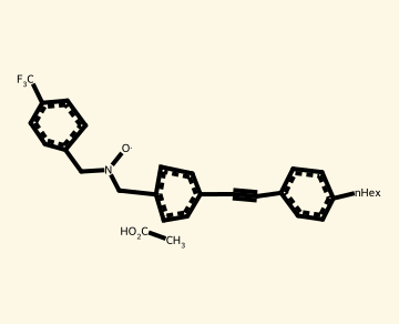 CC(=O)O.CCCCCCc1ccc(C#Cc2ccc(CN([O])Cc3ccc(C(F)(F)F)cc3)cc2)cc1